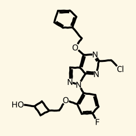 OC1CC(COc2cc(F)ccc2-n2ncc3c(OCc4ccccc4)nc(CCl)nc32)C1